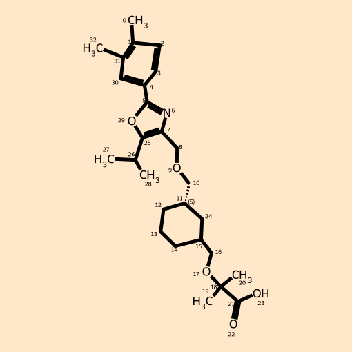 Cc1ccc(-c2nc(COC[C@H]3CCCC(COC(C)(C)C(=O)O)C3)c(C(C)C)o2)cc1C